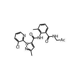 CC(=O)CNC(=O)c1cccc(C)c1NC(=O)c1cc(C)nn1-c1ncccc1Cl